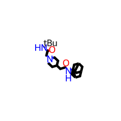 CC(C)(C)NC(=O)CN1CCC(CC(=O)NC23CC4CC(CC(C4)C2)C3)CC1